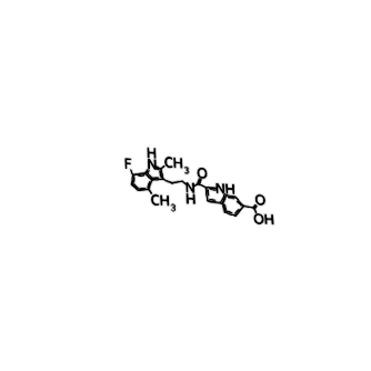 Cc1[nH]c2c(F)ccc(C)c2c1CCNC(=O)c1cc2ccc(C(=O)O)cc2[nH]1